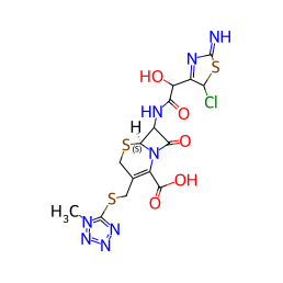 Cn1nnnc1SCC1=C(C(=O)O)N2C(=O)C(NC(=O)C(O)C3=NC(=N)SC3Cl)[C@@H]2SC1